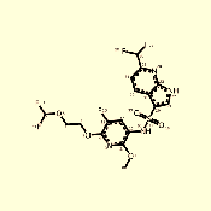 COc1nc(OCCOC(F)F)c(F)cc1NS(=O)(=O)c1c[nH]c2nc(C(F)F)ccc12